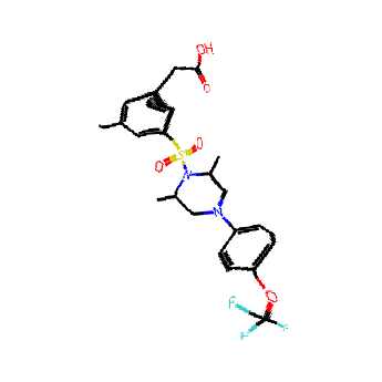 Cc1cc(CC(=O)O)cc(S(=O)(=O)N2C(C)CN(c3ccc(OC(F)(F)F)cc3)CC2C)c1